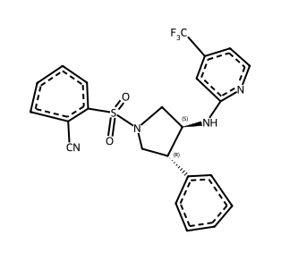 N#Cc1ccccc1S(=O)(=O)N1C[C@@H](Nc2cc(C(F)(F)F)ccn2)[C@H](c2ccccc2)C1